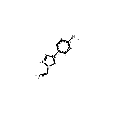 C=CN1CN(c2ccc(N)cc2)C=N1